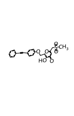 CS(=O)(=O)Cc1cc(=O)c(O)c(COc2ccc(C#Cc3ccccc3)cc2)o1